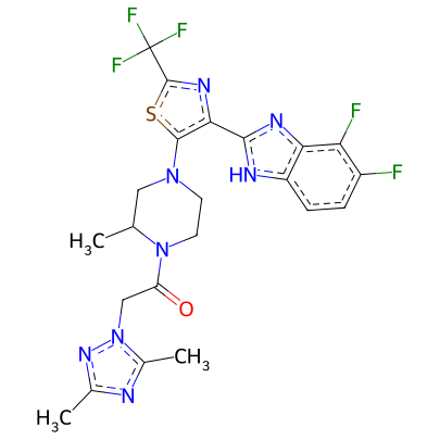 Cc1nc(C)n(CC(=O)N2CCN(c3sc(C(F)(F)F)nc3-c3nc4c(F)c(F)ccc4[nH]3)CC2C)n1